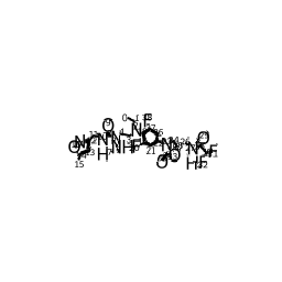 CCN(CCN(NC)C(=O)NCc1cc(C)on1)c1c(F)cc(N2C[C@H](CNC(=O)C(F)F)OC2=O)cc1F